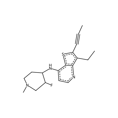 CC#Cc1sc2c(NC3CCN(C)CC3F)ccnc2c1CC